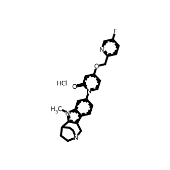 Cl.Cn1c2c(c3ccc(-n4ccc(OCc5ccc(F)cn5)cc4=O)cc31)CN1CCC2CC1